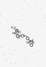 Cc1cc(Nc2ccnc(N3CCN(Cc4ccc(NC(=O)c5ccccc5C(F)(F)F)cc4)CC3)n2)[nH]n1